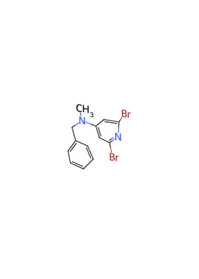 CN(Cc1ccccc1)c1cc(Br)nc(Br)c1